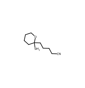 N#CCCCCC1([SiH3])CCCCO1